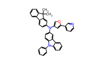 CC1(C)c2ccccc2-c2ccc(N(c3coc(-c4cccnc4)c3)c3ccc4c(c3)c3ccccc3n4-c3ccccc3)cc21